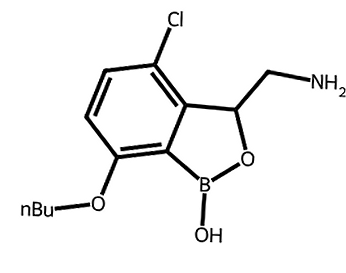 CCCCOc1ccc(Cl)c2c1B(O)OC2CN